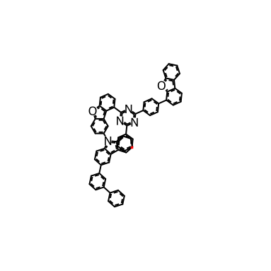 C1=c2c(n(-c3ccc4oc5cccc(-c6nc(-c7ccccc7)nc(-c7ccc(-c8cccc9c8oc8ccccc89)cc7)n6)c5c4c3)c3ccc(-c4cccc(-c5ccccc5)c4)cc23)=CCC1